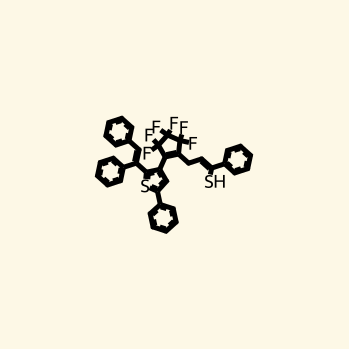 FC1(F)C(C/C=C(\S)c2ccccc2)=C(c2cc(-c3ccccc3)sc2/C(=C/c2ccccc2)c2ccccc2)C(F)(F)C1(F)F